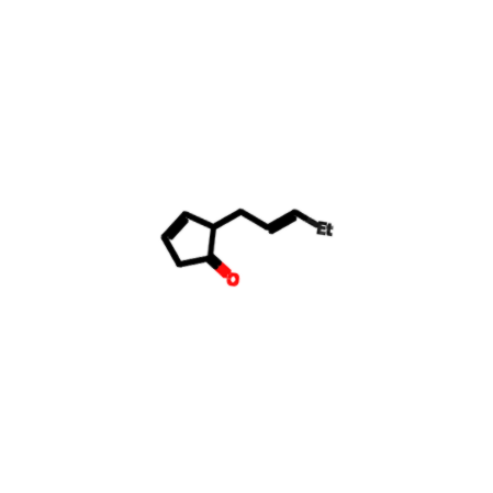 CCC=CCC1C=CCC1=O